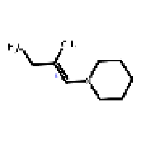 CC/C(C)=C/N1CCCCC1